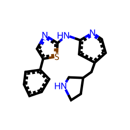 c1ccc(-c2cnc(Nc3cc(CC4CCNC4)ccn3)s2)cc1